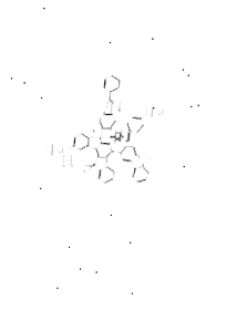 CC(C)(C)c1ccc(Nc2cc3oc4ccccc4c3cc2-c2c3c(c4c5cc(C(C)(C)C)ccc5n5c4c2Bc2cc4nc(-c6ccccc6)oc4cc2-5)C(C)(C)c2ccccc2-3)cc1